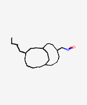 CCCCC1CCCCC2CCCC(CN=O)CCC(CC1)CC2